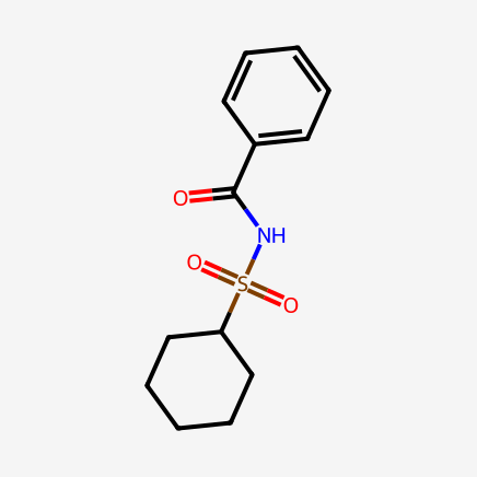 O=C(NS(=O)(=O)C1CCCCC1)c1ccccc1